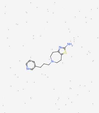 Nc1nc2c(s1)CCN(CCCc1cccnc1)CC2